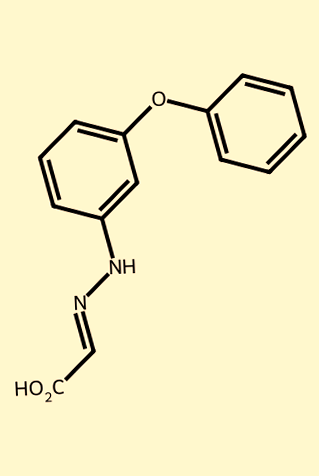 O=C(O)C=NNc1cccc(Oc2ccccc2)c1